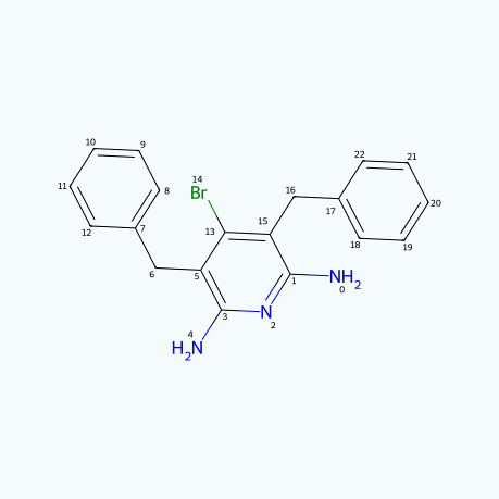 Nc1nc(N)c(Cc2ccccc2)c(Br)c1Cc1ccccc1